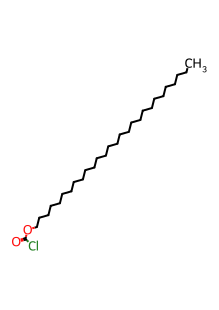 CCCCCCCCCCCCCCCCCCCCCCCCCCCCOC(=O)Cl